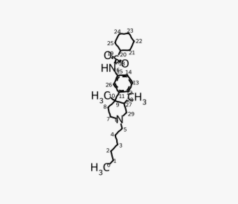 CCCCCCN1CCC(C)(c2cccc(NS(=O)(=O)C3CCCCC3)c2)C(C)C1